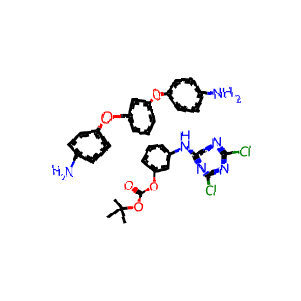 CC(C)(C)OC(=O)Oc1cccc(Nc2nc(Cl)nc(Cl)n2)c1.Nc1ccc(Oc2cccc(Oc3ccc(N)cc3)c2)cc1